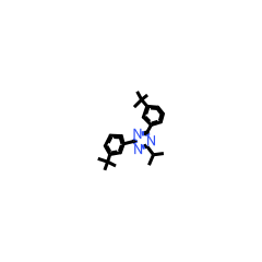 CC(C)c1nc(-c2cccc(C(C)(C)C)c2)nc(-c2cccc(C(C)(C)C)c2)n1